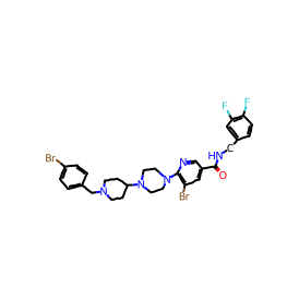 O=C(NCc1ccc(F)c(F)c1)c1cnc(N2CCN(C3CCN(Cc4ccc(Br)cc4)CC3)CC2)c(Br)c1